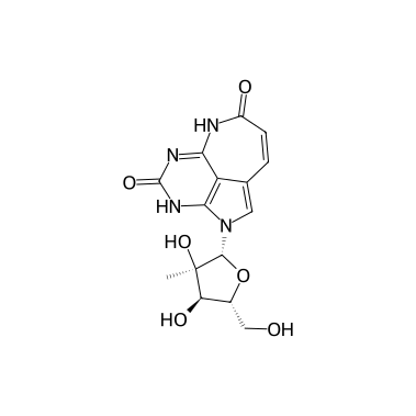 C[C@@]1(O)[C@H](O)[C@@H](CO)O[C@H]1n1cc2c3c(nc(=O)[nH]c31)NC(=O)C=C2